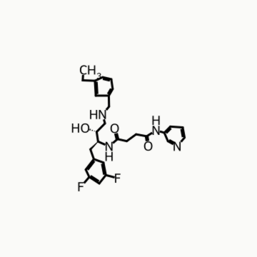 CCc1cccc(CNC[C@@H](O)[C@H](Cc2cc(F)cc(F)c2)NC(=O)CCC(=O)Nc2cccnc2)c1